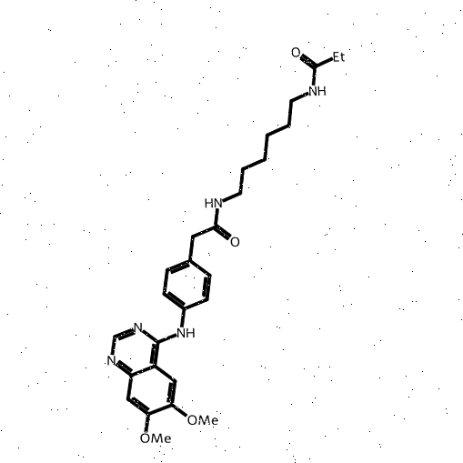 CCC(=O)NCCCCCCNC(=O)Cc1ccc(Nc2ncnc3cc(OC)c(OC)cc23)cc1